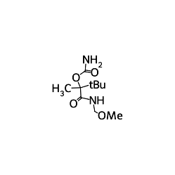 COCNC(=O)C(C)(OC(N)=O)C(C)(C)C